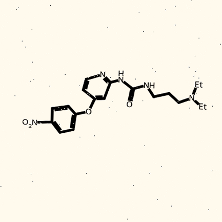 CCN(CC)CCCNC(=O)Nc1cc(Oc2ccc([N+](=O)[O-])cc2)ccn1